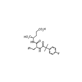 CC(C)C[C@H](NC(=O)C(C)(C)c1ccc(F)cc1)C(=O)N[C@H](CCC(=O)O)C(=O)O